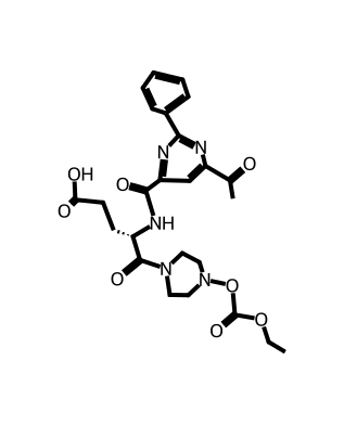 CCOC(=O)ON1CCN(C(=O)[C@H](CCC(=O)O)NC(=O)c2cc(C(C)=O)nc(-c3ccccc3)n2)CC1